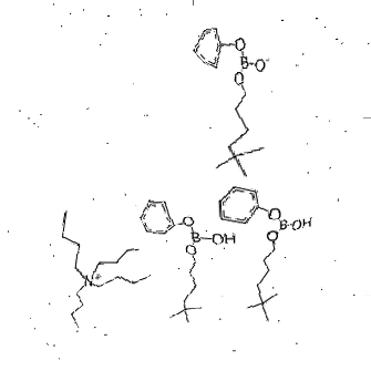 CC(C)(C)CCCCOB(O)Oc1ccccc1.CC(C)(C)CCCCOB(O)Oc1ccccc1.CC(C)(C)CCCCOB([O-])Oc1ccccc1.CCCC[N+](CCCC)(CCCC)CCCC